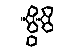 c1ccc2c(c1)[nH]c1ccccc12.c1ccc2c(c1)[nH]c1ccccc12.c1ccccc1